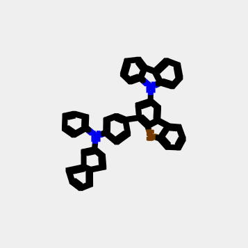 c1ccc(N(c2ccc(-c3cc(-n4c5ccccc5c5ccccc54)cc4c3sc3ccccc34)cc2)c2ccc3ccccc3c2)cc1